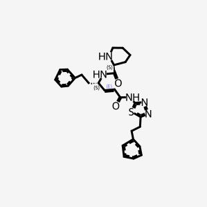 O=C(/C=C/[C@H](CCc1ccccc1)NC(=O)[C@@H]1CCCCN1)Nc1nnc(CCc2ccccc2)s1